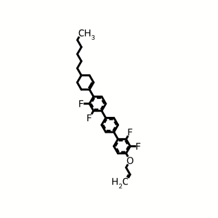 C=CCOc1ccc(-c2ccc(-c3ccc(C4=CCC(CCCCCC)CC4)c(F)c3F)cc2)c(F)c1F